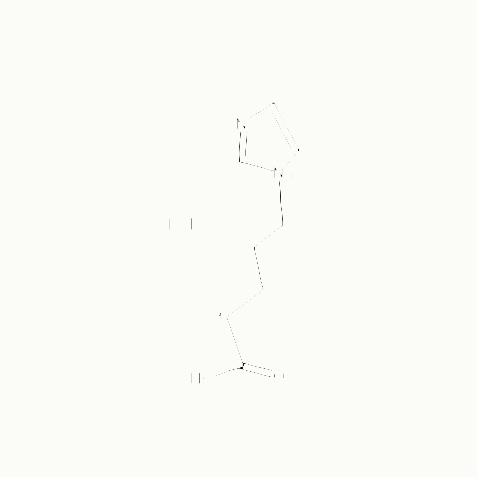 Cl.O=C(O)CCCCn1ccnc1